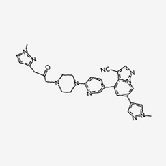 Cn1cc(-c2cc(-c3ccc(N4CCN(CC(=O)Cc5ccn(C)n5)CC4)nc3)c3c(C#N)cnn3c2)cn1